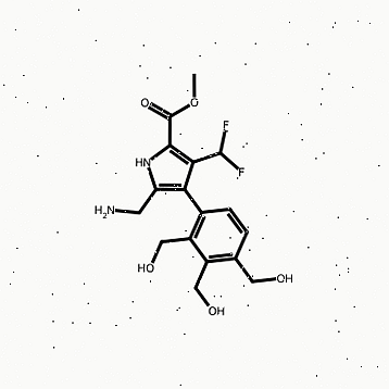 COC(=O)c1[nH]c(CN)c(-c2ccc(CO)c(CO)c2CO)c1C(F)F